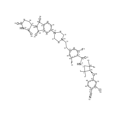 CC1(C)[C@H](NC(=O)c2c(F)cc(CCN3CCN(c4ccc5c(c4)C(=O)N(C4CCC(=O)NC4=O)C5=O)CC3)cc2F)C(C)(C)[C@H]1Oc1ccc(C#N)c(Cl)c1